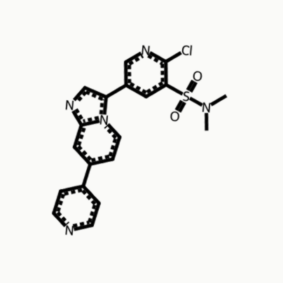 CN(C)S(=O)(=O)c1cc(-c2cnc3cc(-c4ccncc4)ccn23)cnc1Cl